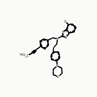 O=C(O)C#Cc1ccc(CN(CCc2ccc(N3CCOCC3)cc2)c2nc3cccc(F)c3s2)cc1